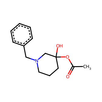 CC(=O)OC1(O)CCCN(Cc2ccccc2)C1